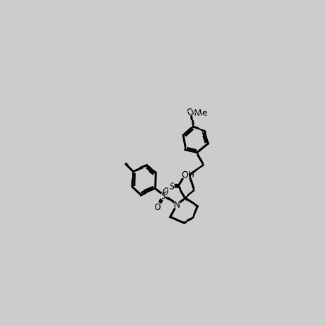 COc1ccc(CCCC2(C(O)=S)CCCCN2S(=O)(=O)c2ccc(C)cc2)cc1